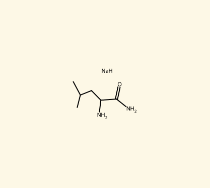 CC(C)CC(N)C(N)=O.[NaH]